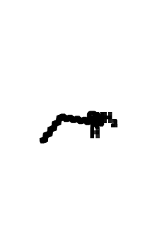 CCCCCCCC/C=C\CCCCCCCC(=O)NC(C)N